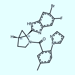 Cc1ccc(-n2cccn2)c(C(=O)N2CC[C@@H]3C[C@@]32c2nc3cc(F)c(Br)cc3[nH]2)c1